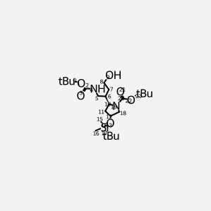 CC(C)(C)OC(=O)NCC(CCO)[C@@H]1C[C@@H](O[Si](C)(C)C(C)(C)C)CN1C(=O)OC(C)(C)C